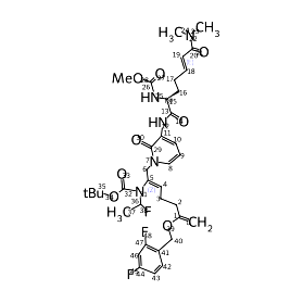 C=C(CC/C=C(/Cn1cccc(NC(=O)[C@H](CC/C=C/C(=O)N(C)C)NC(=O)OC)c1=O)N(C(=O)OC(C)(C)C)C(C)F)OCc1ccc(F)cc1F